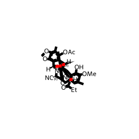 CCC(=O)NC1CS[C@@H]2c3c(OC(C)=O)c(C)c4c(c3[C@H](COC1=O)N1C2C2NC(Cc3cc(C)c(OC)c(O)c32)[C@@H]1C#N)OCO4